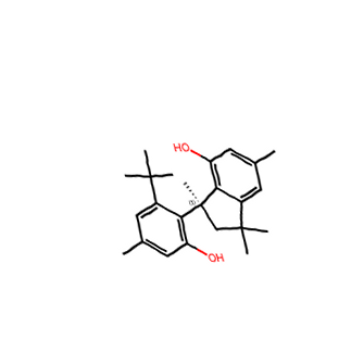 Cc1cc(O)c([C@]2(C)CC(C)(C)c3cc(C)cc(O)c32)c(C(C)(C)C)c1